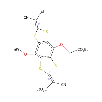 [C-]#[N+]/C(CC)=C1\Sc2c(OCCC)c3c(c(OCC(=O)OCC)c2S1)S/C(=C(\C#N)C(=O)OCC)S3